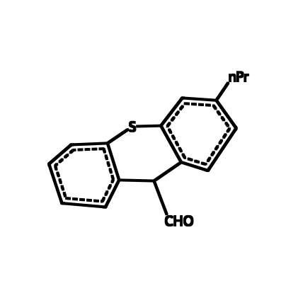 CCCc1ccc2c(c1)Sc1ccccc1C2C=O